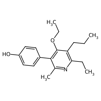 CCCc1c(CC)nc(C)c(-c2ccc(O)cc2)c1OCC